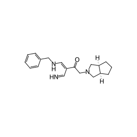 N=C/C(=C\NCc1ccccc1)C(=O)CN1C[C@H]2CCC[C@H]2C1